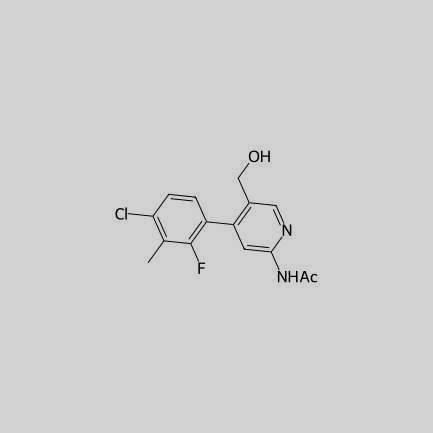 CC(=O)Nc1cc(-c2ccc(Cl)c(C)c2F)c(CO)cn1